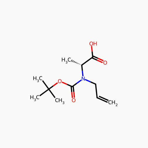 C=CCN(C(=O)OC(C)(C)C)[C@H](C)C(=O)O